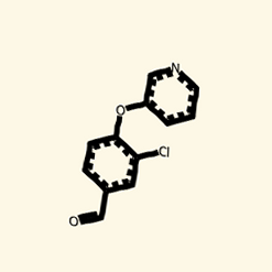 O=Cc1ccc(Oc2cccnc2)c(Cl)c1